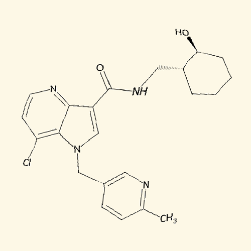 Cc1ccc(Cn2cc(C(=O)NC[C@H]3CCCC[C@@H]3O)c3nccc(Cl)c32)cn1